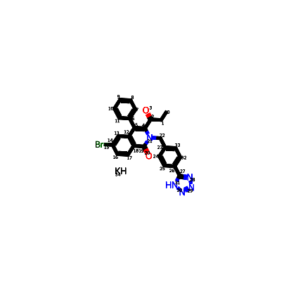 CCC(=O)c1c(-c2ccccc2)c2cc(Br)ccc2c(=O)n1Cc1ccc(-c2nnn[nH]2)cc1.[KH]